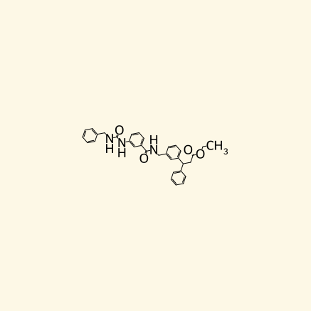 CCOC(=O)CC(c1ccccc1)c1cccc(CNC(=O)c2cccc(NC(=O)NCc3ccccc3)c2)c1